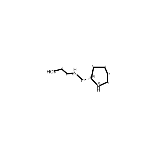 OCCNC[C@@H]1CCCCN1